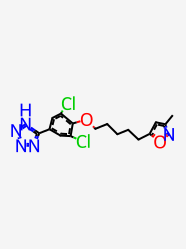 Cc1cc(CCCCCOc2c(Cl)cc(-c3nnn[nH]3)cc2Cl)on1